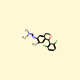 CCN(C)/C=N/c1cc2c(cc1C)C(c1c(F)cccc1F)OCC2